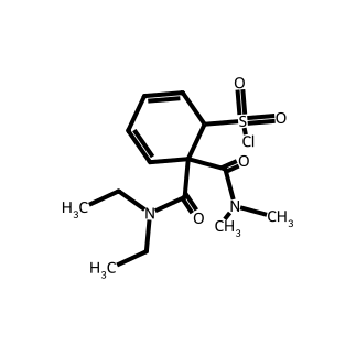 CCN(CC)C(=O)C1(C(=O)N(C)C)C=CC=CC1S(=O)(=O)Cl